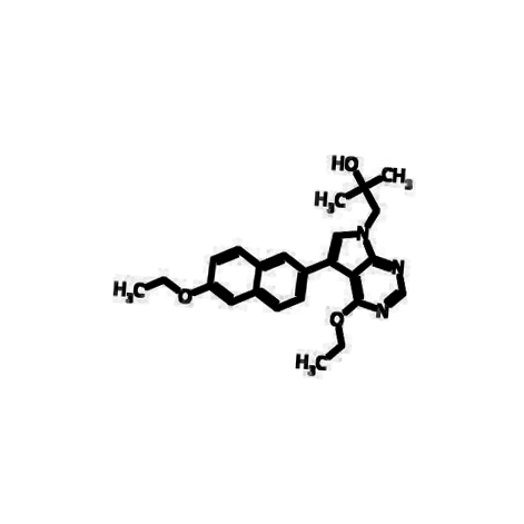 CCOc1ccc2cc(-c3cn(CC(C)(C)O)c4ncnc(OCC)c34)ccc2c1